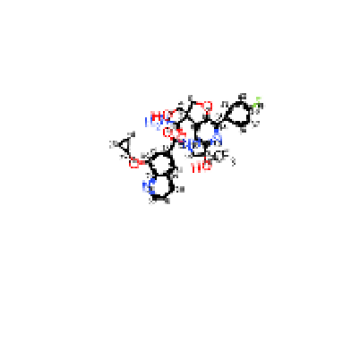 NC(=O)[C@]1(CO)COc2c1cc([C@@](O)(CNC(=O)c1cc(OC3CC3)c3ncccc3c1)C(F)(F)F)nc2-c1ccc(F)cc1